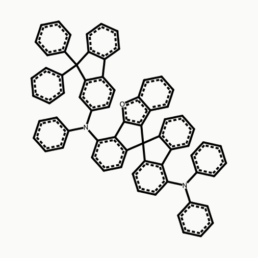 c1ccc(N(c2ccccc2)c2cccc3c2-c2ccccc2C32c3cccc(N(c4ccccc4)c4ccc5c(c4)C(c4ccccc4)(c4ccccc4)c4ccccc4-5)c3-c3oc4ccccc4c32)cc1